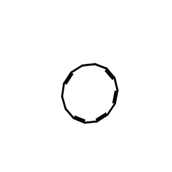 C1=CC=CCCC=CCCC=CC=C1